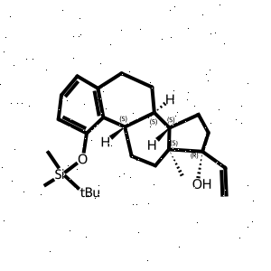 C=C[C@]1(O)CC[C@H]2[C@@H]3CCc4cccc(O[Si](C)(C)C(C)(C)C)c4[C@H]3CC[C@@]21C